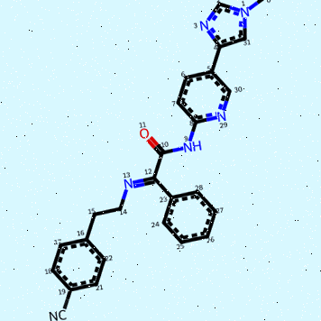 Cn1cnc(-c2ccc(NC(=O)/C(=N/CCc3ccc(C#N)cc3)c3ccccc3)nc2)c1